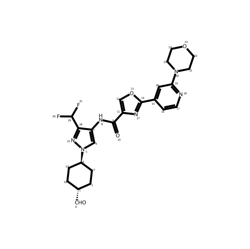 O=C[C@H]1CC[C@H](n2cc(NC(=O)c3coc(-c4ccnc(N5CCOCC5)c4)n3)c(C(F)F)n2)CC1